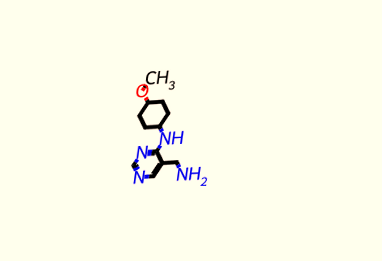 COC1CCC(Nc2ncncc2CN)CC1